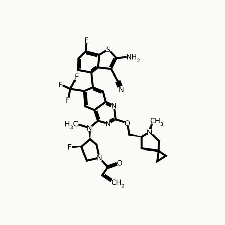 C=CC(=O)N1C[C@@H](F)[C@@H](N(C)c2nc(OC[C@@H]3CC4(CC4)CN3C)nc3cc(-c4ccc(F)c5sc(N)c(C#N)c45)c(C(F)(F)F)cc23)C1